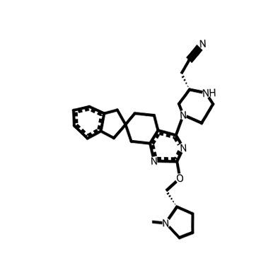 CN1CCC[C@H]1COc1nc2c(c(N3CCN[C@@H](CC#N)C3)n1)CCC1(Cc3ccccc3C1)C2